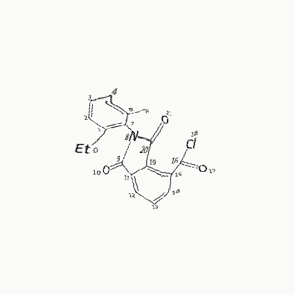 CCc1cccc(C)c1N1C(=O)c2cccc(C(=O)Cl)c2C1=O